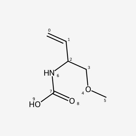 C=CC(COC)NC(=O)O